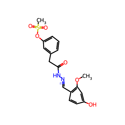 COc1cc(O)ccc1/C=N/NC(=O)Cc1cccc(OS(C)(=O)=O)c1